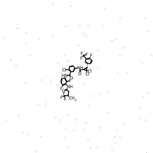 CC(CC(=O)Nc1c(F)ccc(NC(=O)c2cc(NC(=O)C3[C@H](c4ccc(F)c(C(F)(F)F)c4)C3(Cl)Cl)ccc2Cl)c1F)C(F)(F)F